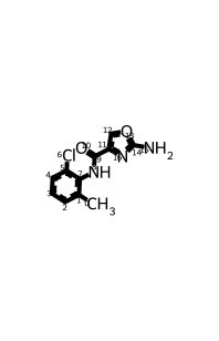 Cc1cccc(Cl)c1NC(=O)c1coc(N)n1